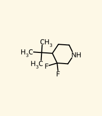 CC(C)(C)C1CCNCC1(F)F